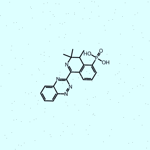 CC1c2c(cccc2P(=O)(O)O)C(c2nnc3ccccc3n2)=NC1(C)C